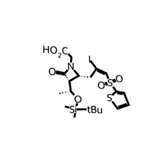 C[C@@H](O[Si](C)(C)C(C)(C)C)[C@@H]1C(=O)N(CC(=O)O)[C@@H]1C/C(I)=C\S(=O)(=O)c1cccs1